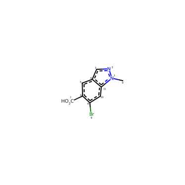 Cn1ncc2cc(C(=O)O)c(Br)cc21